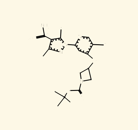 Cc1nn(-c2cc(OC3CN(C(=O)OC(C)(C)C)C3)c(F)cn2)c(C)c1C(N)=O